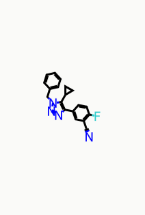 N#Cc1cc(-c2nnn(Cc3ccccc3)c2C2CC2)ccc1F